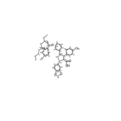 CCCCNCCCC.COc1ccc(C2C(C(=O)O)C(c3ccc4c(c3)OCO4)CN2c2ccccc2)cc1.O=[N+]([O-])c1ccc(F)cc1